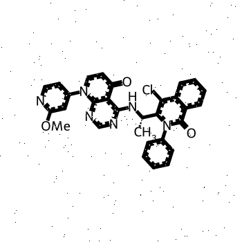 COc1cc(-n2ccc(=O)c3c(N[C@@H](C)c4c(Cl)c5ccccc5c(=O)n4-c4ccccc4)ncnc32)ccn1